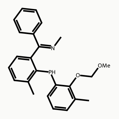 C/N=C(\c1ccccc1)c1cccc(C)c1Pc1cccc(C)c1OCOC